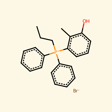 CCC[P+](c1ccccc1)(c1ccccc1)c1cccc(O)c1C.[Br-]